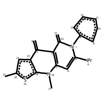 C=C1C2=C(C=C(C(C)C)N(c3ccccc3)C2=C)N(C)c2sc(C)cc21